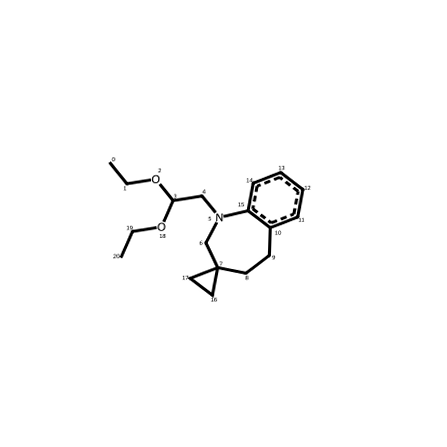 CCOC(CN1CC2(CCc3ccccc31)CC2)OCC